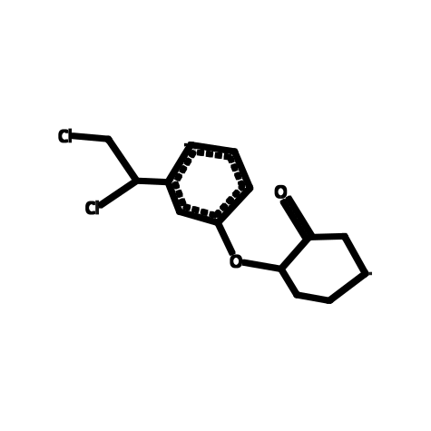 O=C1C[CH]CCC1Oc1cc[c]c(C(Cl)CCl)c1